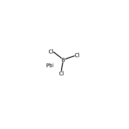 ClB(Cl)Cl.[Pb]